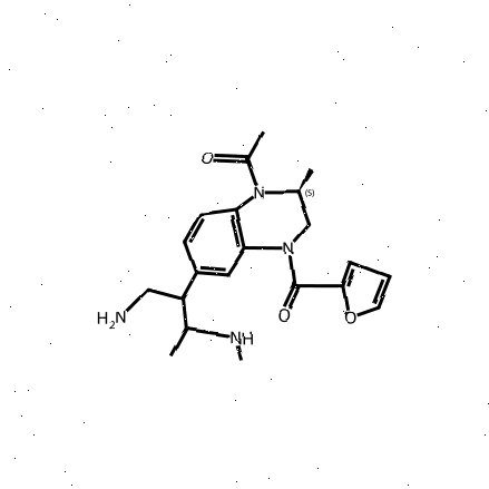 CNC(C)C(CN)c1ccc2c(c1)N(C(=O)c1ccco1)C[C@H](C)N2C(C)=O